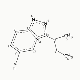 CCC(C)c1nnc2ccc(F)cn12